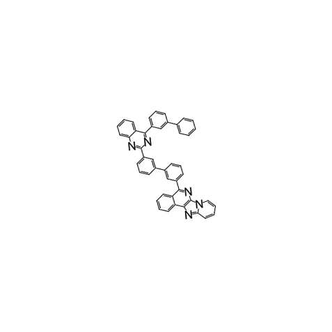 c1ccc(-c2cccc(-c3nc(-c4cccc(-c5cccc(-c6nc7c(nc8ccccn87)c7ccccc67)c5)c4)nc4ccccc34)c2)cc1